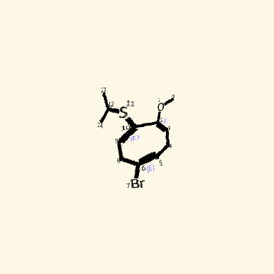 COC1=C/C/C=C(/Br)C/C=C\1SC(C)C